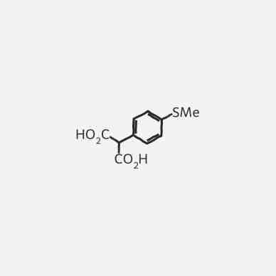 CSc1ccc(C(C(=O)O)C(=O)O)cc1